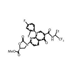 CCC(NC(=O)c1cn(-c2ccc(F)cc2F)c2nc(N3C[C@@H](C(=O)OC)OC3=O)ccc2c1=O)C(F)(F)F